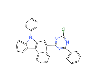 Clc1nc(-c2ccccc2)nc(-c2cc3c(c4ccccc24)c2ccccc2n3-c2ccccc2)n1